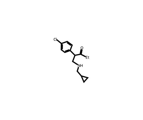 CCC(=O)C(CNCC1CC1)c1ccc(Cl)cc1